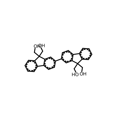 OCC1(CO)c2ccccc2-c2ccc(-c3ccc4c(c3)C(CO)(CO)c3ccccc3-4)cc21